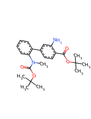 CN(C(=O)OC(C)(C)C)c1ccccc1-c1ccc(C(=O)OC(C)(C)C)c(N)c1